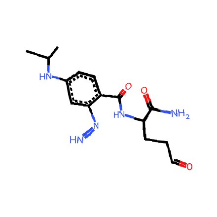 CC(C)Nc1ccc(C(=O)NC(CCC=O)C(N)=O)c(N=N)c1